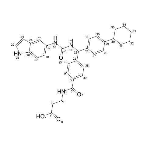 O=C(O)CCNC(=O)c1ccc(C(NC(=O)Nc2ccc3[nH]ccc3c2)c2ccc(C3CCCCC3)cc2)cc1